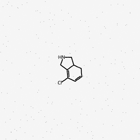 ClC1=C2CNCC2CC=C1